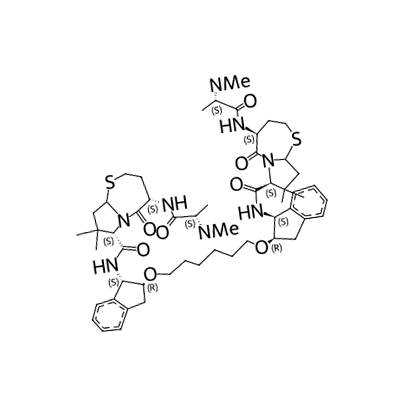 CN[C@@H](C)C(=O)N[C@H]1CCSC2CC(C)(C)[C@@H](C(=O)N[C@H]3c4ccccc4C[C@H]3OCCCCCCO[C@@H]3Cc4ccccc4[C@@H]3NC(=O)[C@H]3N4C(=O)[C@@H](NC(=O)[C@H](C)NC)CCSC4CC3(C)C)N2C1=O